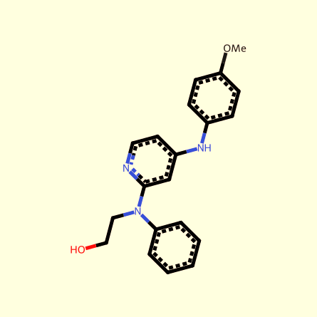 COc1ccc(Nc2ccnc(N(CCO)c3ccccc3)c2)cc1